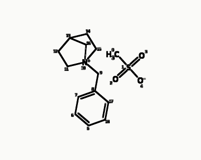 CS(=O)(=O)[O-].c1ccc(C[N+]23CCC(CC2)C3)cc1